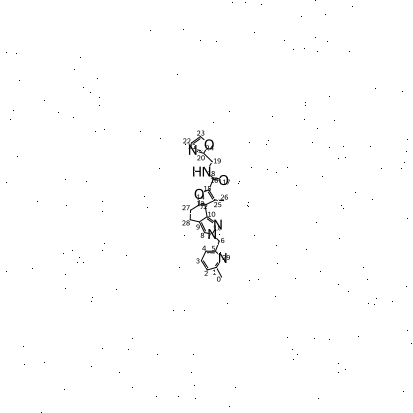 Cc1cccc(Cn2cc3c(n2)-c2c(oc(C(=O)NCc4ncco4)c2C)CC3)n1